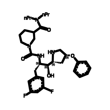 CCCN(CCC)C(=O)C1CCCN(C(=O)N[C@@H](Cc2cc(F)cc(F)c2)[C@H](O)[C@H]2C[C@@H](Oc3ccccc3)CN2)C1